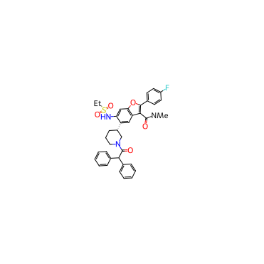 CCS(=O)(=O)Nc1cc2oc(-c3ccc(F)cc3)c(C(=O)NC)c2cc1[C@H]1CCCN(C(=O)C(c2ccccc2)c2ccccc2)C1